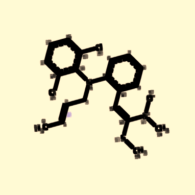 C/C=C/CN(c1ccccc1C=C(SC)[S+](C)[O-])c1c(Cl)cccc1Cl